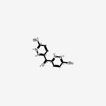 CC(C)(C)c1ccc(C(=O)c2ccc(C(C)(C)C)nn2)nn1